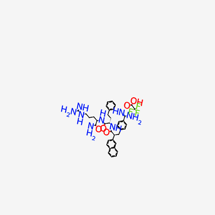 N=C(N)NCCCC(NC(=O)[C@H](CCc1ccccc1)NC(=O)[C@@H](Cc1ccc(C(=N)N)cc1)c1ccc2ccccc2c1)C(N)=O.O=C(O)C(F)(F)F